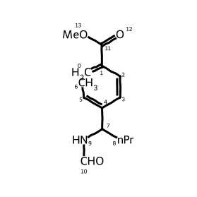 C=C(/C=C\C(=C/C)C(CCC)NC=O)C(=O)OC